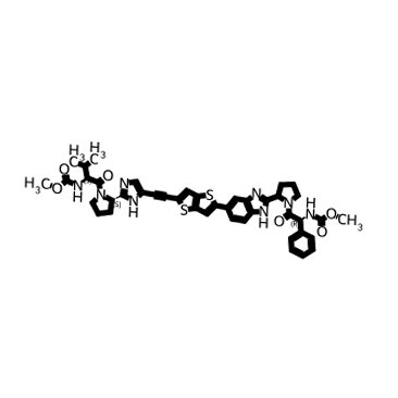 COC(=O)N[C@H](C(=O)N1CCC[C@H]1c1ncc(C#Cc2cc3sc(-c4ccc5[nH]c(C6CCCN6C(=O)[C@H](NC(=O)OC)c6ccccc6)nc5c4)cc3s2)[nH]1)C(C)C